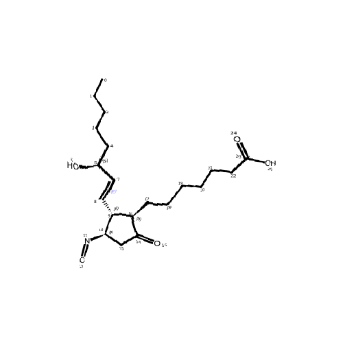 CCCCC[C@H](O)/C=C/[C@H]1[C@H](N=O)CC(=O)[C@@H]1CCCCCCC(=O)O